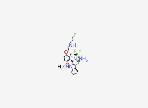 COc1ccc(OCCNCCCF)c(C)c1[C@@H]1c2[nH]c3ccccc3c2C[C@@H](N)N1CC(F)(F)F